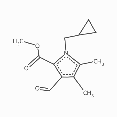 COC(=O)c1c(C=O)c(C)c(C)n1CC1CC1